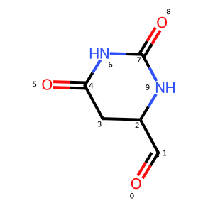 O=[C]C1CC(=O)NC(=O)N1